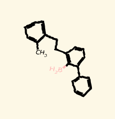 Bc1c(CCc2ccccc2C)cccc1-c1ccccc1